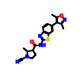 Cc1noc(C)c1-c1ccc2nc(NC(=O)C3CCN(C#N)C3C)sc2c1